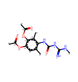 CNC(=N)NC(=O)Nc1c(C)cc(OC(C)=O)c(OC(C)=O)c1C